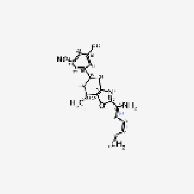 C=C/C=C\C=C(/N)c1nc2c(o1)C(C)CC(c1cc(F)cc(C#N)c1)C2